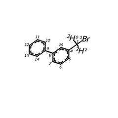 [2H]C([2H])(Br)c1cccc(-c2ccccc2)c1